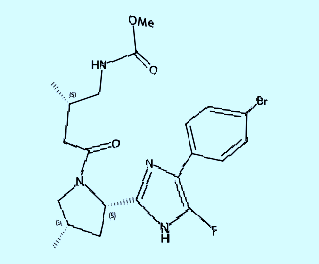 COC(=O)NC[C@@H](C)CC(=O)N1C[C@@H](C)C[C@H]1c1nc(-c2ccc(Br)cc2)c(F)[nH]1